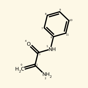 C=C(N)C(=O)Nc1ccccc1